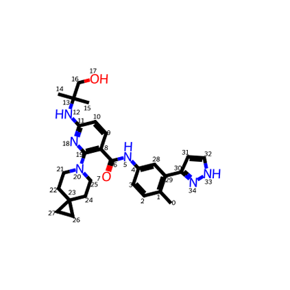 Cc1ccc(NC(=O)c2ccc(NC(C)(C)CO)nc2N2CCC3(CC2)CC3)cc1-c1cc[nH]n1